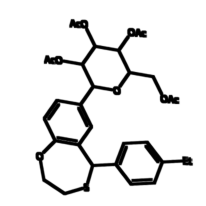 CCc1ccc(C2SCCOc3ccc(C4OC(COC(C)=O)C(OC(C)=O)C(OC(C)=O)C4OC(C)=O)cc32)cc1